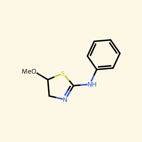 COC1CN=C(Nc2ccccc2)S1